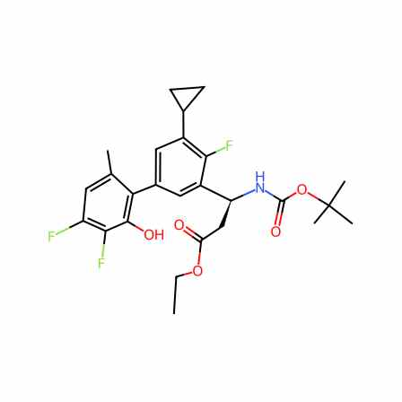 CCOC(=O)C[C@H](NC(=O)OC(C)(C)C)c1cc(-c2c(C)cc(F)c(F)c2O)cc(C2CC2)c1F